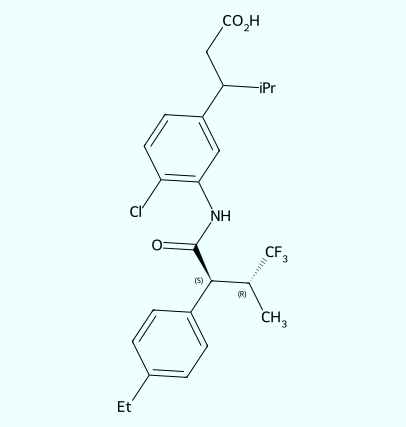 CCc1ccc([C@@H](C(=O)Nc2cc(C(CC(=O)O)C(C)C)ccc2Cl)[C@@H](C)C(F)(F)F)cc1